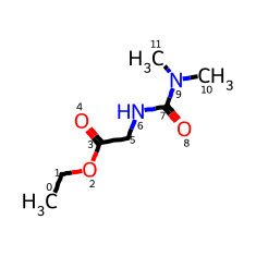 CCOC(=O)CNC(=O)N(C)C